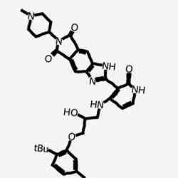 Cc1ccc(C(C)(C)C)c(OCC(O)CNc2cc[nH]c(=O)c2-c2nc3cc4c(cc3[nH]2)C(=O)N(C2CCN(C)CC2)C4=O)c1